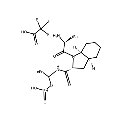 CCCC(NC(=O)[C@H]1C[C@@H]2CCCC[C@@H]2N1C(=O)[C@@H](N)C(C)(C)C)O[PH](=O)O.O=C(O)C(F)(F)F